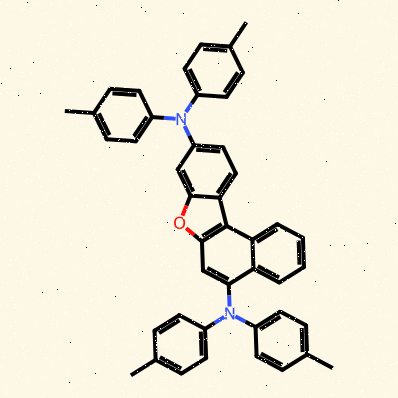 Cc1ccc(N(c2ccc(C)cc2)c2ccc3c(c2)oc2cc(N(c4ccc(C)cc4)c4ccc(C)cc4)c4ccccc4c23)cc1